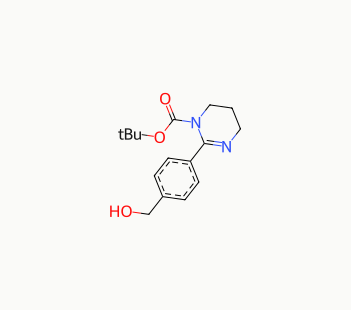 CC(C)(C)OC(=O)N1CCCN=C1c1ccc(CO)cc1